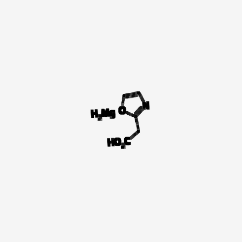 O=C(O)Cc1ncco1.[MgH2]